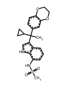 CC(c1ccc2c(c1)OCCO2)(c1c[nH]c2c(NS(C)(=O)=O)cccc12)C1CC1